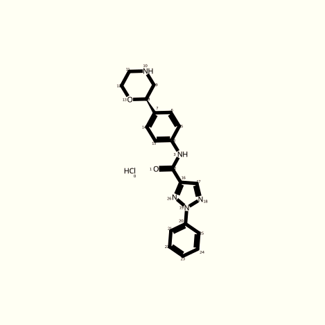 Cl.O=C(Nc1ccc([C@@H]2CNCCO2)cc1)c1cnn(-c2ccccc2)n1